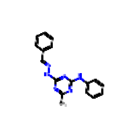 Cc1nc(N/N=C/c2ccccc2)nc(Nc2ccccc2)n1